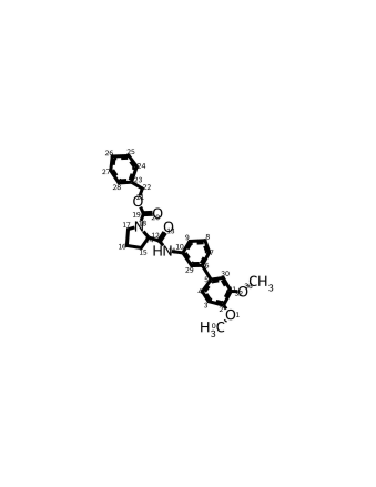 COc1ccc(-c2cccc(NC(=O)C3CCCN3C(=O)OCc3ccccc3)c2)cc1OC